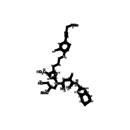 CNCC#Cc1ccc(OCCCc2sc(N(CC(CO)OC)C(=N)/C=C(/C)C(=N)Nc3nc4ccccc4s3)nc2C(=O)O)c(F)c1